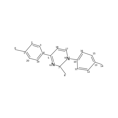 Cc1ccc(C2=NC(C)N(c3ccc(C)cc3)C=C2)cc1